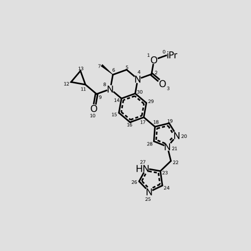 CC(C)OC(=O)N1C[C@H](C)N(C(=O)C2CC2)c2ccc(-c3cnn(Cc4cnc[nH]4)c3)cc21